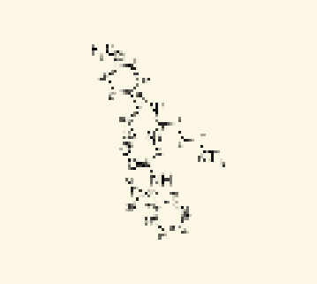 O=C(Cn1c(CCCC(F)(F)F)nc(-c2ccc(C(F)(F)F)cc2)cc1=O)NC1(c2cccnc2)CC1